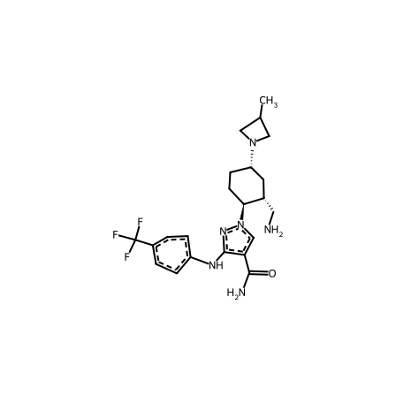 CC1CN([C@H]2CC[C@H](n3cc(C(N)=O)c(Nc4ccc(C(F)(F)F)cc4)n3)[C@@H](CN)C2)C1